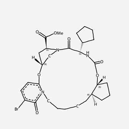 COC(=O)[C@@H]1C[C@@H]2CN1C(=O)[C@H](C1CCCC1)NC(=O)O[C@@H]1CCC[C@H]1CCCCCn1c(ccc(Br)c1=O)O2